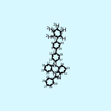 [2H]c1c([2H])c([2H])c(-c2ccc(-c3ccc(N4c5ccccc5-n5c(-c6ccccc6)nc6cccc4c65)cc3)cc2)c([2H])c1[2H]